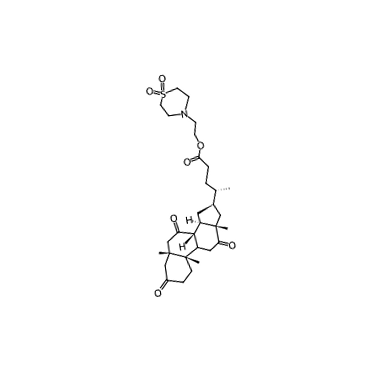 C[C@@H](CCC(=O)OCCN1CCS(=O)(=O)CC1)[C@@H]1C[C@@H]2[C@H]3C(=O)C[C@@]4(C)CC(=O)CC[C@@]4(C)C3CC(=O)[C@@]2(C)C1